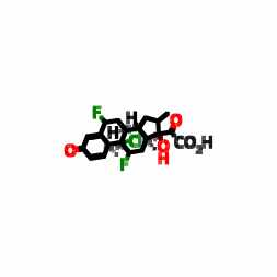 CC1C[C@H]2[C@@H]3CC(F)C4=CC(=O)C=C[C@]4(C)[C@@]3(Cl)C(F)C[C@]2(C)[C@@]1(O)C(=O)C(=O)O